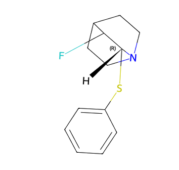 FC1C2CCN(CC2)[C@@H]1Sc1ccccc1